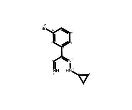 N=C/C(=N\NC1CC1)c1cccc(Br)c1